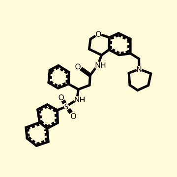 O=C(CC(NS(=O)(=O)c1ccc2ccccc2c1)c1ccccc1)NC1CCOc2ccc(CN3CCCCC3)cc21